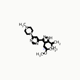 C=C(C)c1[nH]nc(-c2cc(N3CCN(C)CC3)ncn2)c1/C=C(\C)OC